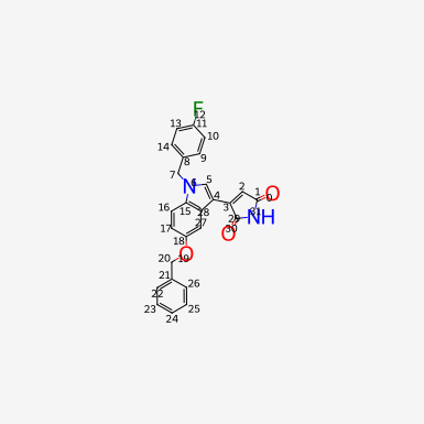 O=C1C=C(c2cn(Cc3ccc(F)cc3)c3ccc(OCc4ccccc4)cc23)C(=O)N1